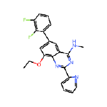 CCOc1cc(-c2cccc(F)c2F)cc2c(NC)nc(-c3ccccn3)nc12